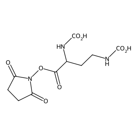 O=C(O)NCCC(NC(=O)O)C(=O)ON1C(=O)CCC1=O